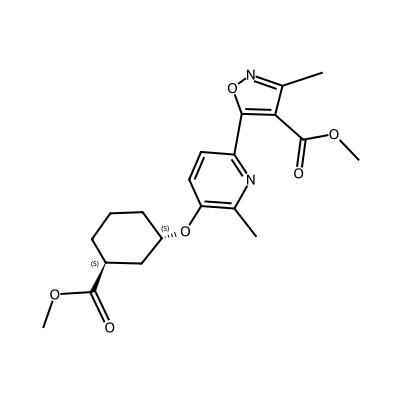 COC(=O)c1c(C)noc1-c1ccc(O[C@H]2CCC[C@H](C(=O)OC)C2)c(C)n1